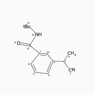 CC(C#N)c1cccc(C(=O)NC(C)(C)C)c1